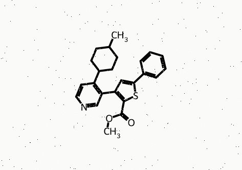 COC(=O)c1sc(-c2ccccc2)cc1-c1cnccc1C1CCC(C)CC1